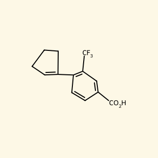 O=C(O)c1ccc(C2=CCCC2)c(C(F)(F)F)c1